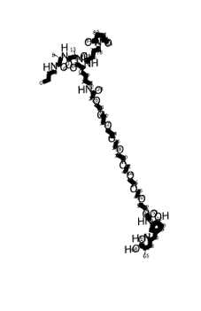 CCCCNC(=O)[C@H](C)NC(=O)[C@H](C)NC(=O)[C@H](CCCCNC(=O)COCCOCCOCCOCCOCCOCCOCCOCCOCCOC(=O)Nc1cc(C[C@H](N)C[C@H](C)C(=O)O)ccc1O)NC(=O)CCCN1C(=O)C=CC1=O